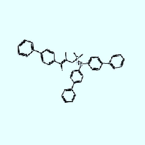 C/C(C[PH](C)(C)B(c1ccc(-c2ccccc2)cc1)c1ccc(-c2ccccc2)cc1)=C(/C)c1ccc(-c2ccccc2)cc1